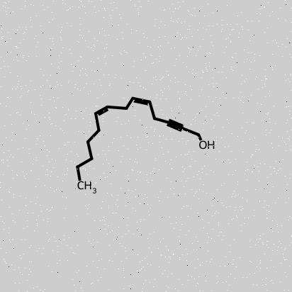 CCCCC/C=C\C/C=C\CC#CCO